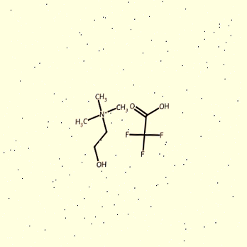 C[N+](C)(C)CCO.O=C(O)C(F)(F)F